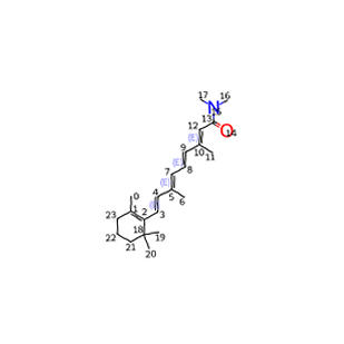 CC1=C(/C=C/C(C)=C/C=C/C(C)=C/C(=O)N(C)C)C(C)(C)CCC1